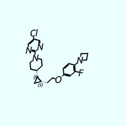 Fc1cc(OCC[C@@H]2C[C@@H]2C2CCN(c3ncc(Cl)cn3)CC2)ccc1N1CCC1